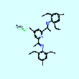 CCc1cc(C)cc(CC)c1N=C(C)c1cc(C)cc(C(C)=Nc2c(CC)cc(C)cc2CC)n1.[Cl-].[Cl-].[Cl-].[Fe+3]